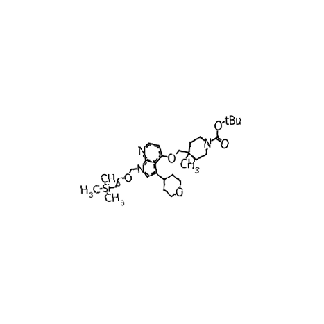 CC1(COc2ccnc3c2c(C2CCOCC2)cn3COCC[Si](C)(C)C)CCN(C(=O)OC(C)(C)C)CC1